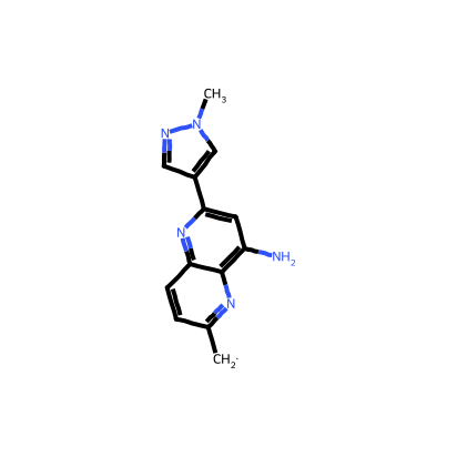 [CH2]c1ccc2nc(-c3cnn(C)c3)cc(N)c2n1